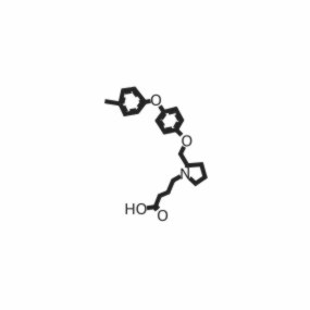 Cc1ccc(Oc2ccc(OCC3CCCN3CCCC(=O)O)cc2)cc1